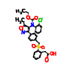 CCOC(=O)N(c1ccccc1Cl)c1c(-c2ccc(CS(=O)(=O)c3ccccc3CC(=O)O)cc2)noc1C